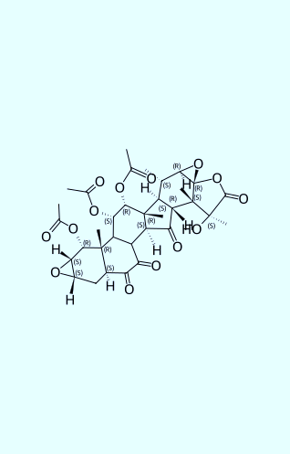 CC(=O)O[C@H]1C2C(C(=O)C(=O)[C@H]3C[C@@H]4O[C@@H]4[C@H](OC(C)=O)[C@]23C)[C@@H]2C(=O)[C@@H]3[C@H]([C@H](C)[C@H]4O[C@]45OC(=O)[C@@](C)(O)[C@]35C)[C@@]2(C)[C@H]1OC(C)=O